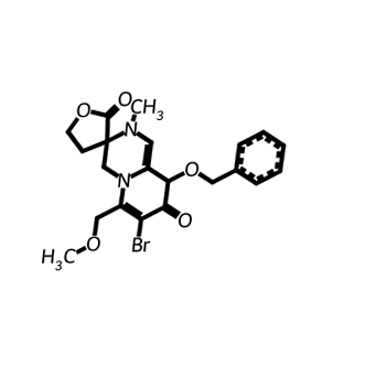 COCC1=C(Br)C(=O)C(OCc2ccccc2)C2=CN(C)C3(CCOC3=O)CN21